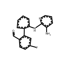 Nc1cccnc1Nc1ccccc1-c1cc(F)ccc1C=O